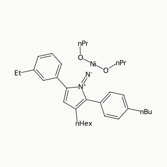 CCCCCCC1=C(c2ccc(CCCC)cc2)[N+](=[N-])C(c2cccc(CC)c2)=C1.CCC[O][Ni][O]CCC